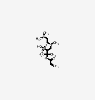 C=CC(=O)NC(C)(C)C(CN(C)CCN(C)C)S(=O)(=O)O